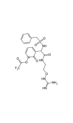 N=C(N)NOCCNC(=O)C(NS(=O)(=O)Cc1ccccc1)c1cccn(OC(=O)C(F)(F)F)c1=O